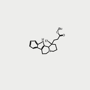 CCC(C)OC(=O)CCC1(CC)CCCN2CCc3c([nH]c4ccccc34)C21